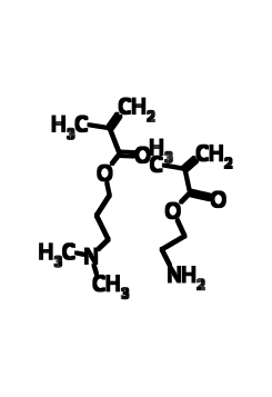 C=C(C)C(=O)OCCCN(C)C.C=C(C)C(=O)OCCN